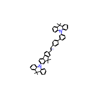 CC1(C)c2cc(/C=C/c3ccc(-c4cccc(N5c6ccccc6C(C)(C)c6ccccc65)c4)cc3)ccc2-c2ccc(N3c4ccccc4C(C)(C)c4ccccc43)cc21